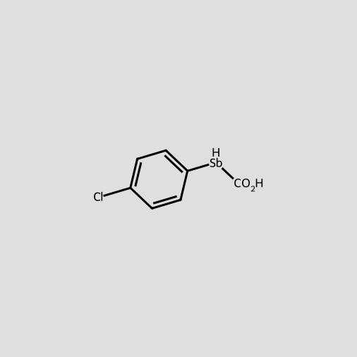 O=[C](O)[SbH][c]1ccc(Cl)cc1